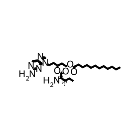 CCCCCCCCCCCC(=O)OCCC(CCn1cnc2cnc(N)nc21)OC(=O)[C@@H](N)[C@@H](C)CC